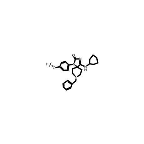 COc1ccc(N2C(=O)N=C(NC3CCCCC3)C23CCN(Cc2ccccc2)CC3)cc1